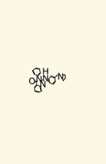 O=c1c2ccccc2nc(Nc2cccc(CN3CCC3)c2)n1-c1ccccc1